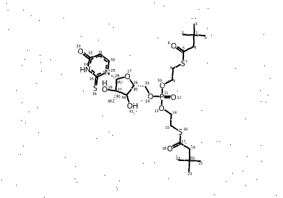 CC(C)(C)CC(=O)SCCOP(=O)(OCCSC(=O)CC(C)(C)C)OC[C@H]1O[C@@H](n2ccc(=O)[nH]c2=S)[C@](C)(O)C1O